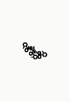 Cc1ccccc1C(=O)NCCN(CCOC(=O)c1ccccc1C)C(=O)c1ccccc1C